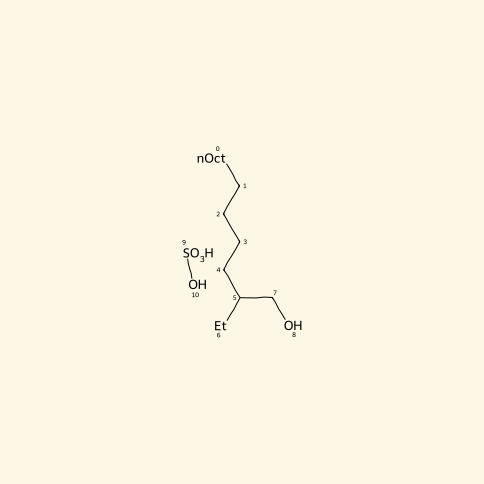 CCCCCCCCCCCCC(CC)CO.O=S(=O)(O)O